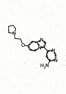 Nc1cc(-c2cnc3cc(OCCN4CCCC4)ccn23)ncn1